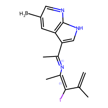 Bc1cnc2[nH]cc(/C(C)=N/C(C)=C(/I)C(=C)C)c2c1